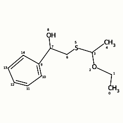 CCOC(C)SCC(O)c1ccccc1